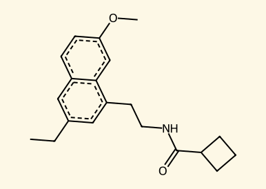 CCc1cc(CCNC(=O)C2CCC2)c2cc(OC)ccc2c1